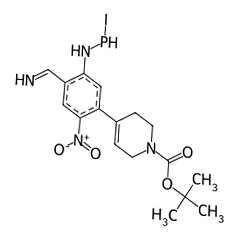 CC(C)(C)OC(=O)N1CC=C(c2cc(NPI)c(C=N)cc2[N+](=O)[O-])CC1